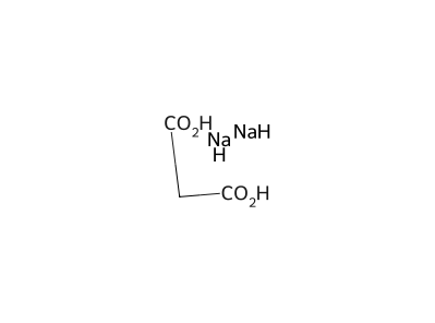 O=C(O)CC(=O)O.[NaH].[NaH]